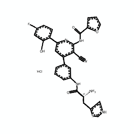 Cl.N#Cc1c(-c2cccc(NC(=O)[C@H](N)Cc3c[nH]cn3)c2)cc(-c2ccc(F)cc2O)nc1NC(=O)c1ccco1